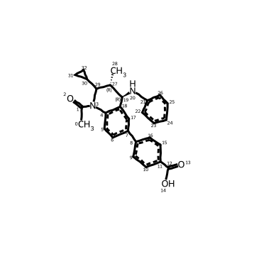 CC(=O)N1c2ccc(-c3ccc(C(=O)O)cc3)cc2[C@H](Nc2ccccc2)[C@@H](C)C1C1CC1